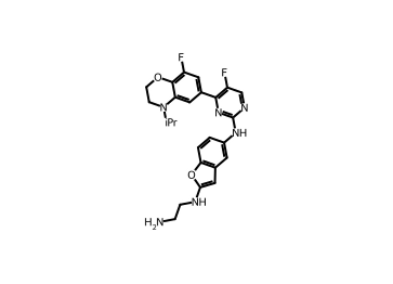 CC(C)N1CCOc2c(F)cc(-c3nc(Nc4ccc5oc(NCCN)cc5c4)ncc3F)cc21